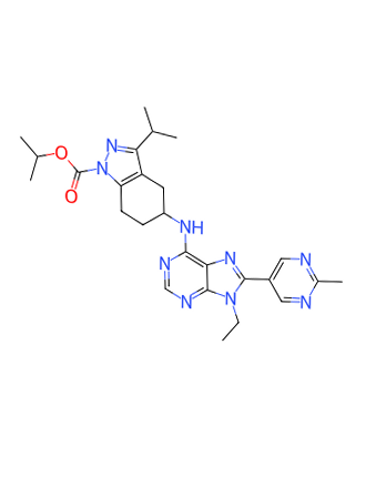 CCn1c(-c2cnc(C)nc2)nc2c(NC3CCc4c(c(C(C)C)nn4C(=O)OC(C)C)C3)ncnc21